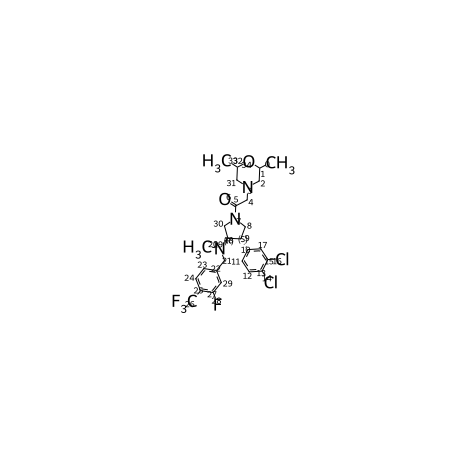 CC1CN(CC(=O)N2C[C@H](c3ccc(Cl)c(Cl)c3)[C@@H](N(C)Cc3ccc(C(F)(F)F)c(F)c3)C2)CC(C)O1